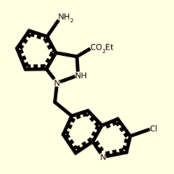 CCOC(=O)C1NN(Cc2ccc3ncc(Cl)cc3c2)c2cccc(N)c21